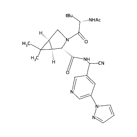 CC(=O)N[C@H](C(=O)N1C[C@H]2[C@@H]([C@H]1C(=O)NC(C#N)c1cncc(-n3cccn3)c1)C2(C)C)C(C)(C)C